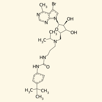 Cc1ncnc2c1c(Br)cn2[C@@H]1O[C@H](CN(CCCNC(=O)Nc2ccc(C(C)(C)C)cc2)C(C)C)C(O)[C@@H]1O